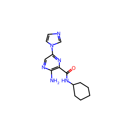 Nc1ncc(-n2ccnc2)nc1C(=O)NC1CCCCC1